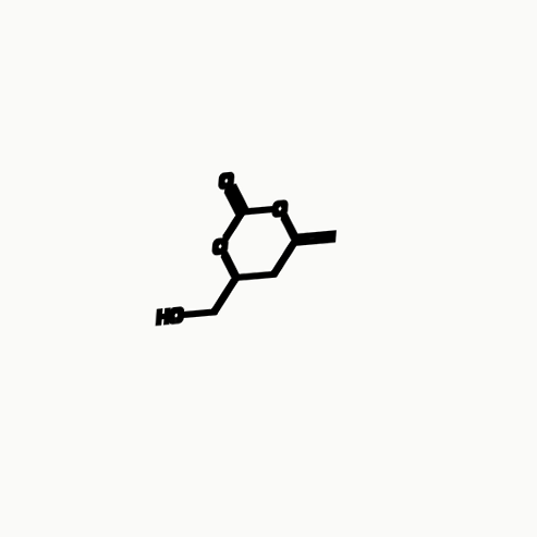 C=C1CC(CO)OC(=O)O1